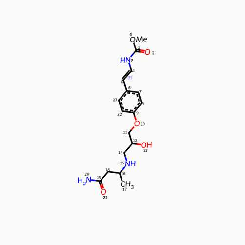 COC(=O)N/C=C/c1ccc(OCC(O)CNC(C)CC(N)=O)cc1